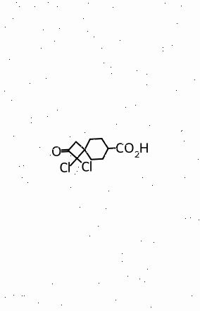 O=C(O)C1CCC2(CC1)CC(=O)C2(Cl)Cl